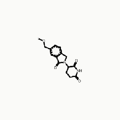 O=C1CCC(N2Cc3ccc(COI)cc3C2=O)C(=O)N1